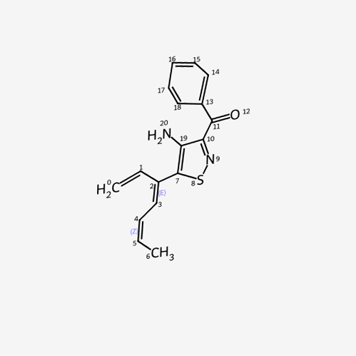 C=C/C(=C\C=C/C)c1snc(C(=O)c2ccccc2)c1N